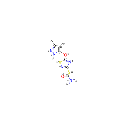 Cc1nn(C)c(Oc2nc(SC(=O)N(C)C)ns2)c1C